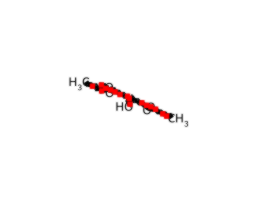 CCCCCCCCCOC(=O)CCCCCCCN(CCO)CCCCCCCC(=O)OC1CCC(CCCCCC)CC1